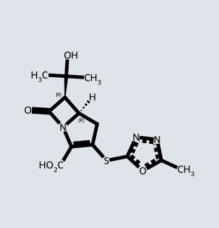 Cc1nnc(SC2=C(C(=O)O)N3C(=O)[C@@H](C(C)(C)O)[C@H]3C2)o1